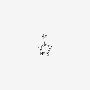 CC(=O)c1[c]nsc1